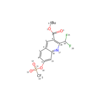 CC(C)(C)OC(=O)c1cc2ccc(OS(=O)(=O)C(F)(F)F)cc2nc1C(F)F